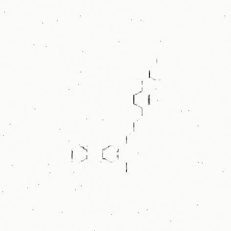 CCCc1cc(Oc2cnccn2)ccc1OCCCOc1ccc([C@@H](O)C(=O)OCC)cc1